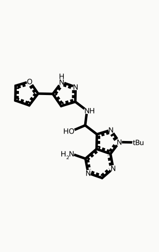 CC(C)(C)n1nc(C(O)Nc2cc(-c3ccco3)[nH]n2)c2c(N)ncnc21